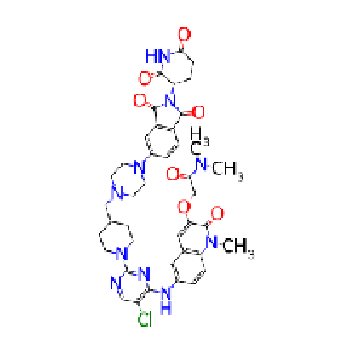 CN(C)C(=O)COc1cc2cc(Nc3nc(N4CCC(CN5CCN(c6ccc7c(c6)C(=O)N(C6CCC(=O)NC6=O)C7=O)CC5)CC4)ncc3Cl)ccc2n(C)c1=O